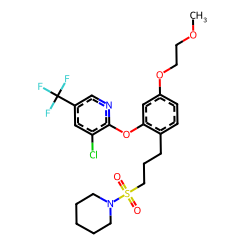 COCCOc1ccc(CCCS(=O)(=O)N2CCCCC2)c(Oc2ncc(C(F)(F)F)cc2Cl)c1